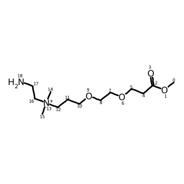 COC(=O)CCOCCOCCC[N+](C)(C)CCN